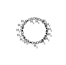 O1[SiH2]O[SiH2]O[SiH2]O[SiH2]O[SiH2]O[SiH2]O[SiH2]O[SiH2]O[SiH2]O[SiH2]O[SiH2]O[SiH2]O[SiH2]O[SiH2]O[SiH2]1